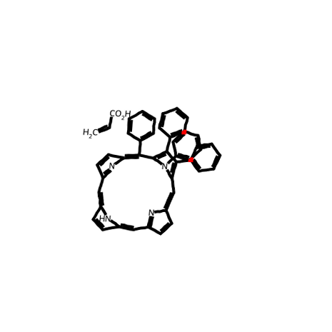 C1=Cc2cc3c(-c4ccccc4)c(-c4ccccc4)c(c(-c4ccccc4)c4nc(cc5ccc(cc1n2)[nH]5)C=C4)n3-c1ccccc1.C=CC(=O)O